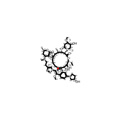 CC[C@H]1OC(=O)[C@H](C)[C@@H](O[C@H]2C[C@@](C)(OC)[C@@H](O)[C@H](C)O2)[C@H](C)[C@@H](O[C@@H]2O[C@H](C)C[C@H](N(C)CCc3cn([C@H](CF)[C@H](OC)c4ccc(N5CC[C@H](O)C5)cc4)nn3)[C@H]2O)[C@](C)(O)C[C@@H](C)CN(C)[C@H](C)[C@@H](O)[C@]1(C)O